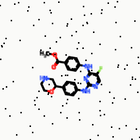 COC(=O)c1ccc(Nc2nc(Nc3ccc(C4CNCCO4)cc3)ncc2F)cc1